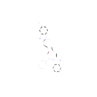 Cc1ccc2c(c1)C(C)(C)/C(=C/C1=C(O)C(=C\C3=[N+](C)c4ccc([N+](=O)[O-])cc4C3(C)C)/C1=O)N2CC1CCCCC1